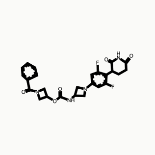 O=C1CCC(c2c(F)cc(N3CC(NC(=O)OC4CN(C(=O)c5ccccc5)C4)C3)cc2F)C(=O)N1